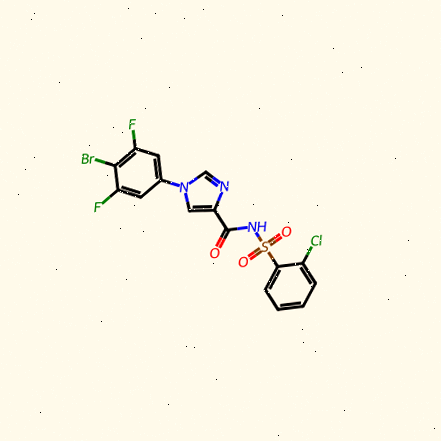 O=C(NS(=O)(=O)c1ccccc1Cl)c1cn(-c2cc(F)c(Br)c(F)c2)cn1